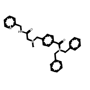 CN(CC(=O)NCc1ccccn1)Cc1ccc(C(=O)N(Cc2ccccc2)Cc2ccccc2)cc1